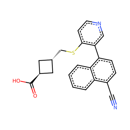 N#Cc1ccc(-c2cnccc2SC[C@H]2C[C@H](C(=O)O)C2)c2ccccc12